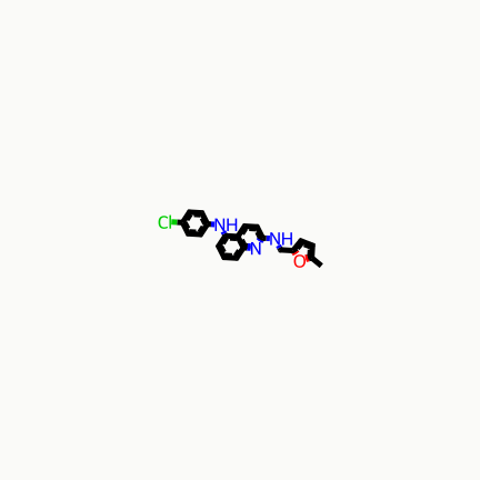 Cc1ccc(CNc2ccc3c(Nc4ccc(Cl)cc4)cccc3n2)o1